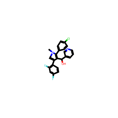 Cn1cc(-c2ccc(F)cc2F)c(C(O)c2cccnc2)c1-c1ccc(Cl)cc1